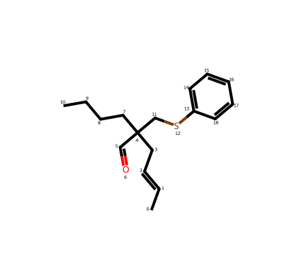 C/C=C/CC(C=O)(CCCC)CSc1ccccc1